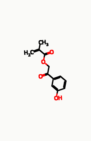 C=C(C)C(=O)OCC(=O)c1cccc(O)c1